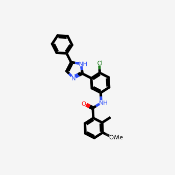 COc1cccc(C(=O)Nc2ccc(Cl)c(-c3ncc(-c4ccccc4)[nH]3)c2)c1C